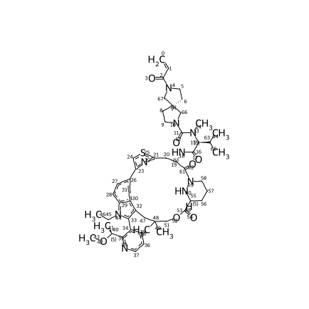 C=CC(=O)N1CC[C@]2(CCN(C(=O)N(C)[C@H](C(=O)N[C@H]3Cc4nc(cs4)-c4ccc5c(c4)c(c(-c4cccnc4[C@H](C)OC)n5CC)CC(C)(C)COC(=O)[C@@H]4CCCN(N4)C3=O)C(C)C)C2)C1